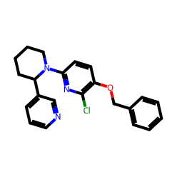 Clc1nc(N2CCCCC2c2cccnc2)ccc1OCc1ccccc1